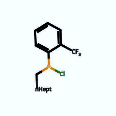 CCCCCCCCP(Cl)c1ccccc1C(F)(F)F